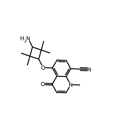 Cn1ccc(=O)c2c(OC3C(C)(C)C(N)C3(C)C)ccc(C#N)c21